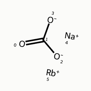 O=C([O-])[O-].[Na+].[Rb+]